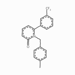 Cc1ccc(Cn2c(-c3cccc(C(F)(F)F)c3)cccc2=O)cc1